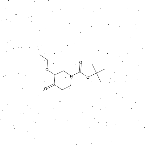 CCOC1CN(C(=O)OC(C)(C)C)CCC1=O